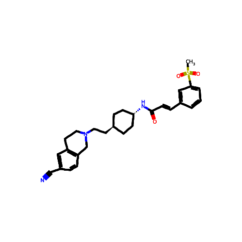 CS(=O)(=O)c1cccc(C=CC(=O)N[C@H]2CC[C@H](CCN3CCc4cc(C#N)ccc4C3)CC2)c1